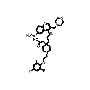 COc1ccc2ncc(CN3CCOCC3)c([C@H](F)CCC3(CC(=O)O)CCN(CCOc4c(F)cc(F)cc4F)CC3)c2c1